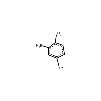 Bc1ccc(C(C)C)cc1B